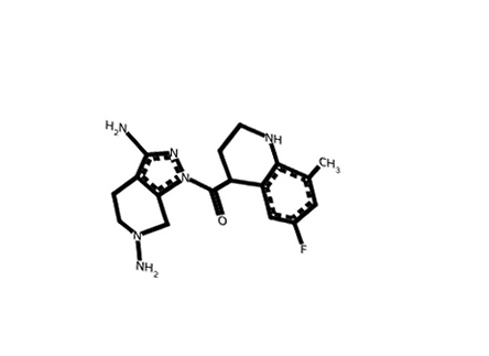 Cc1cc(F)cc2c1NCCC2C(=O)n1nc(N)c2c1CN(N)CC2